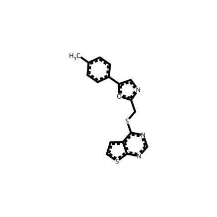 Cc1ccc(-c2cnc(CSc3ncnc4sccc34)o2)cc1